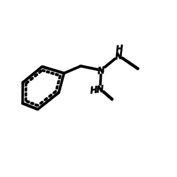 CNN(Cc1ccccc1)NC